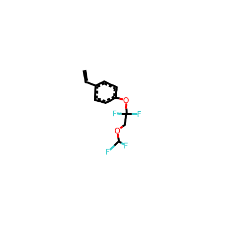 C=Cc1ccc(OC(F)(F)COC(F)F)cc1